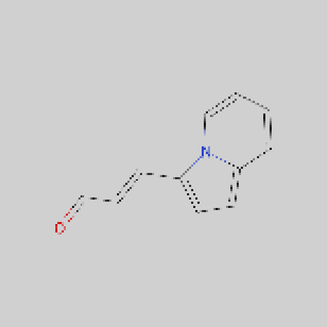 O=C/C=C/c1ccc2ccccn12